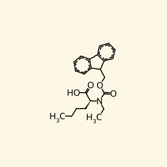 CCCC[C@@H](C(=O)O)N(CC)C(=O)OCC1c2ccccc2-c2ccccc21